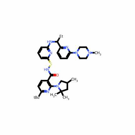 CCC(Nc1cccc(SNC(=O)c2ccc(C(C)(C)C)nc2N2CC(C)CC2(C)C)n1)c1cccc(N2CCN(C)CC2)n1